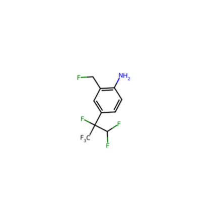 Nc1ccc(C(F)(C(F)F)C(F)(F)F)cc1CF